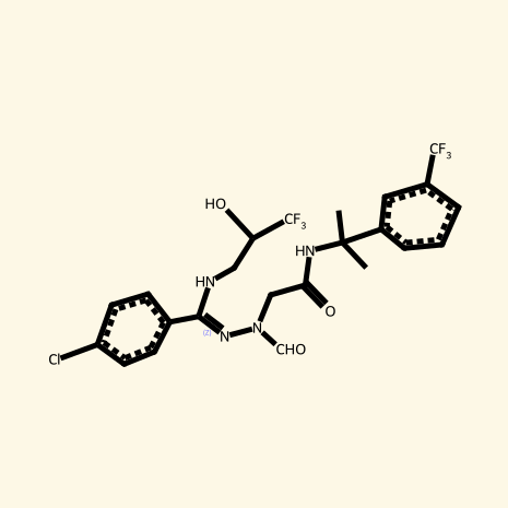 CC(C)(NC(=O)CN(C=O)/N=C(\NCC(O)C(F)(F)F)c1ccc(Cl)cc1)c1cccc(C(F)(F)F)c1